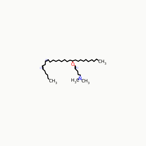 CCCCC/C=C\C/C=C\CCCCCCCCC(CCCCCCCCCC)O/C=C/CCCN(C)C